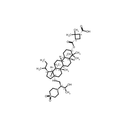 CCC(C)[C@@H]1CC[C@]2(NC[C@@H]([C@H](C)O)N3CCS(=O)(=O)CC3)CC[C@]3(C)[C@H](CC[C@@H]4[C@@]5(C)CC[C@H](OC(=O)[C@H]6C[C@@H](C(=O)O)C6(C)C)C(C)(C)[C@@H]5CC[C@]43C)[C@@H]12